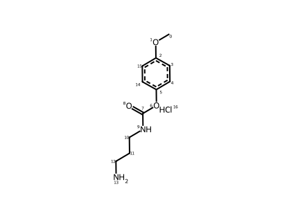 COc1ccc(OC(=O)NCCCN)cc1.Cl